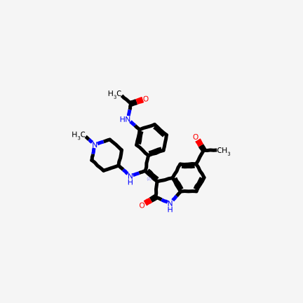 CC(=O)Nc1cccc(/C(NC2CCN(C)CC2)=C2/C(=O)Nc3ccc(C(C)=O)cc32)c1